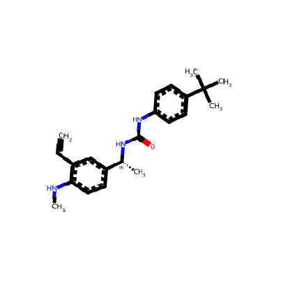 C=Cc1cc([C@@H](C)NC(=O)Nc2ccc(C(C)(C)C)cc2)ccc1NC